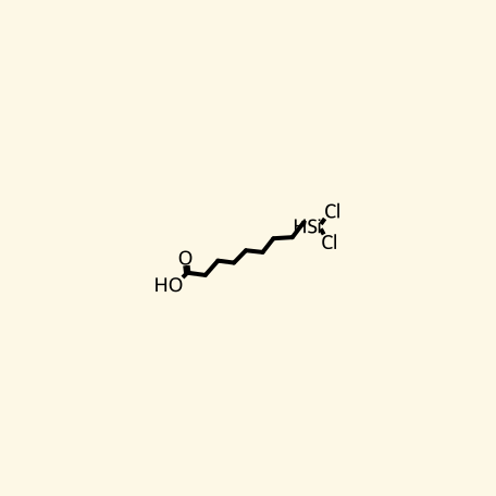 O=C(O)CCCCCCCC[SiH](Cl)Cl